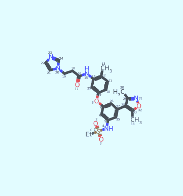 CCS(=O)(=O)Nc1cc(Oc2ccc(C)c(NC(=O)CCn3ccnc3)c2)cc(-c2c(C)noc2C)c1